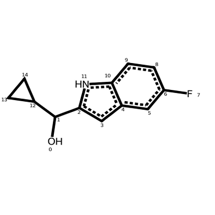 OC(c1cc2cc(F)ccc2[nH]1)C1CC1